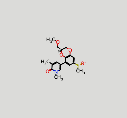 COC[C@H]1COc2cc([S+](C)[O-])cc(-c3cc(C)c(=O)n(C)c3)c2O1